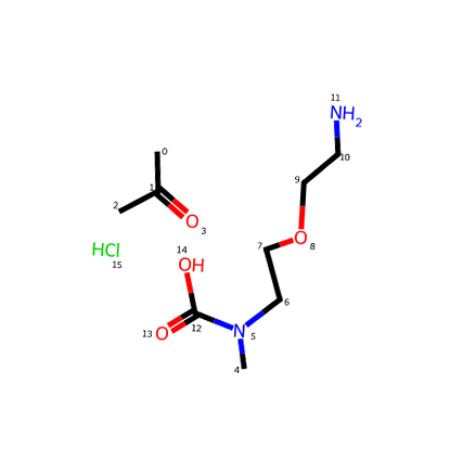 CC(C)=O.CN(CCOCCN)C(=O)O.Cl